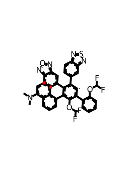 CN(C)c1cccc2c(-c3c(OC(F)F)c(-c4ccccc4OC(F)F)[c]c(-c4ccc5nsnc5c4)c3-c3ccc4nonc4c3)cccc12